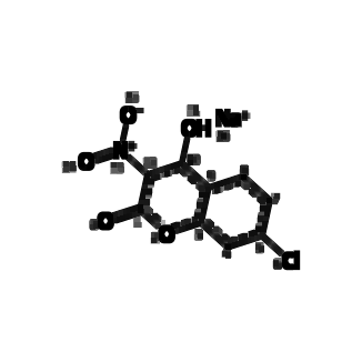 O=c1oc2cc(Cl)ccc2c(O)c1[N+](=O)[O-].[Na+]